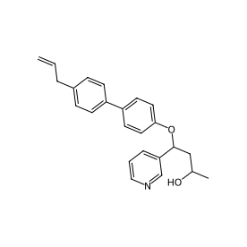 C=CCc1ccc(-c2ccc(OC(CC(C)O)c3cccnc3)cc2)cc1